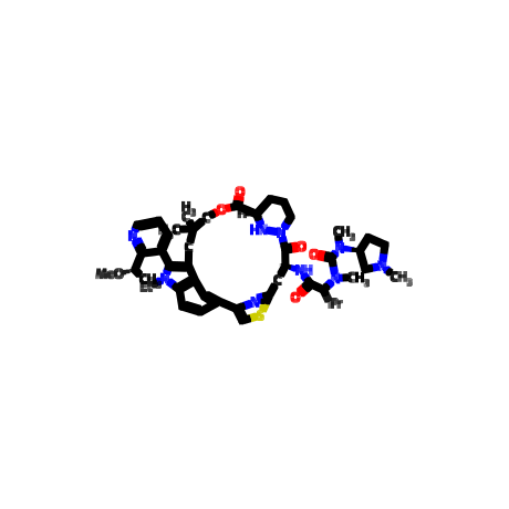 CCn1c(-c2cccnc2[C@H](C)OC)c2c3cc(ccc31)-c1csc(n1)C[C@H](NC(=O)C(C(C)C)N(C)C(=O)N(C)[C@H]1CCN(C)C1)C(=O)N1CCC[C@H](N1)C(=O)OCC(C)(C)C2